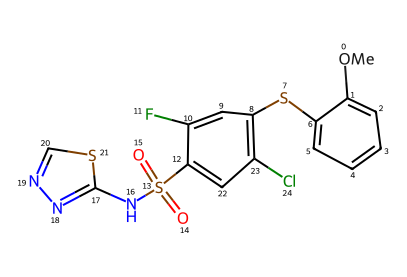 COc1ccccc1Sc1cc(F)c(S(=O)(=O)Nc2nncs2)cc1Cl